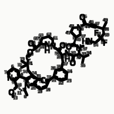 CCn1c(-c2cccnc2[C@H](C)OC)c2c3cc(ccc31)-c1cccc(c1)C[C@H](NC(=O)[C@H](C(C)C)N(C)C(=O)[C@H]1CCN(C(=O)C#CC(C)CC(F)(F)CNC)C1)C(=O)N1CCC[C@@](C)(N1)C(=O)OCC(C)(C)C2